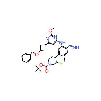 COc1nc(Nc2cc(C3CCN(C(=O)OC(C)(C)C)CC3F)c(C)cc2C=N)cc(C2CC(OCc3ccccc3)C2)n1